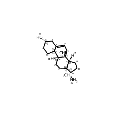 C[C@]12CC[C@H]3C(=CC=C4C[C@@H](O)CC[C@@]43C)[C@@H]1CC[C@@H]2N